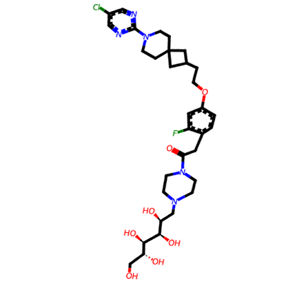 O=C(Cc1ccc(OCCC2CC3(CCN(c4ncc(Cl)cn4)CC3)C2)cc1F)N1CCN(C[C@H](O)[C@@H](O)[C@H](O)[C@H](O)CO)CC1